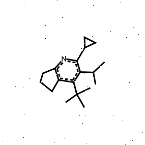 CC(C)c1c(C2CC2)nc2c(c1C(C)(C)C)CCC2